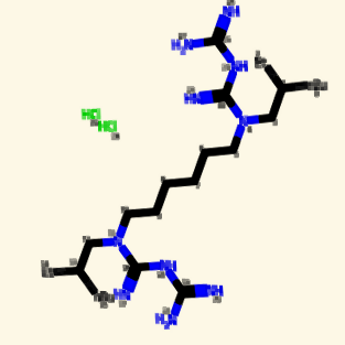 CCCCC(CC)CN(CCCCCCN(CC(CC)CCCC)C(=N)NC(=N)N)C(=N)NC(=N)N.Cl.Cl